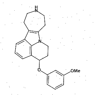 COc1cccc(OC2CCn3c4c(c5cccc2c53)CCNCC4)c1